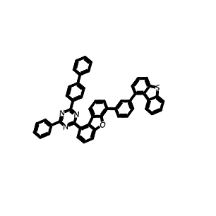 c1ccc(-c2ccc(-c3nc(-c4ccccc4)nc(-c4cccc5oc6c(-c7cccc(-c8cccc9sc%10ccccc%10c89)c7)cccc6c45)n3)cc2)cc1